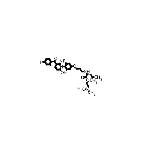 CC(C)C[C@@H](NCCCOc1cc(F)c(-n2c(N)c(C(=O)c3ccc(F)cc3F)ccc2=O)c(F)c1)C(=O)OCCN(C)C